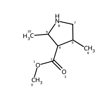 COC(=O)C1C(C)CNC1C